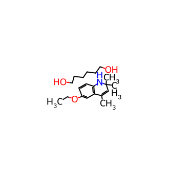 CCOc1ccc2c(c1)C(C)=CC(C)(C)N2.OCCCCCCO